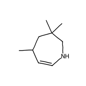 CC1C=CNCC(C)(C)C1